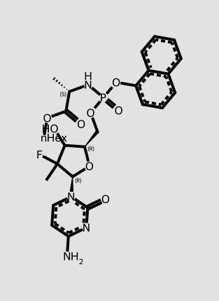 CCCCCCOC(=O)[C@H](C)NP(=O)(OC[C@H]1O[C@@H](n2ccc(N)nc2=O)C(C)(F)C1O)Oc1cccc2ccccc12